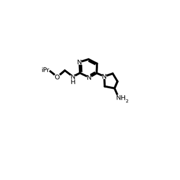 CC(C)OCNc1nccc(N2CCC(N)C2)n1